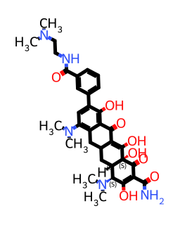 CN(C)CCNC(=O)c1cccc(-c2cc(N(C)C)c3c(c2O)C(=O)C2=C(O)[C@]4(O)C(=O)C(C(N)=O)=C(O)[C@@H](N(C)C)[C@@H]4CC2C3)c1